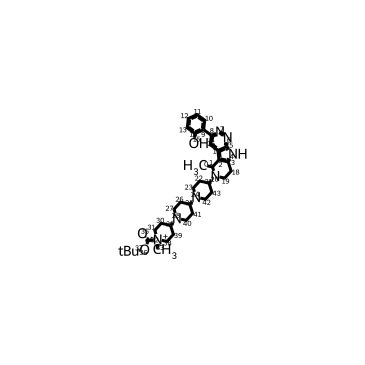 CC1c2c([nH]c3nnc(-c4ccccc4O)cc23)CCN1C1CCN(C2CCN(C3CC[N+](C)(C(=O)OC(C)(C)C)CC3)CC2)CC1